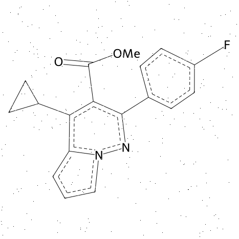 COC(=O)c1c(-c2ccc(F)cc2)nn2cccc2c1C1CC1